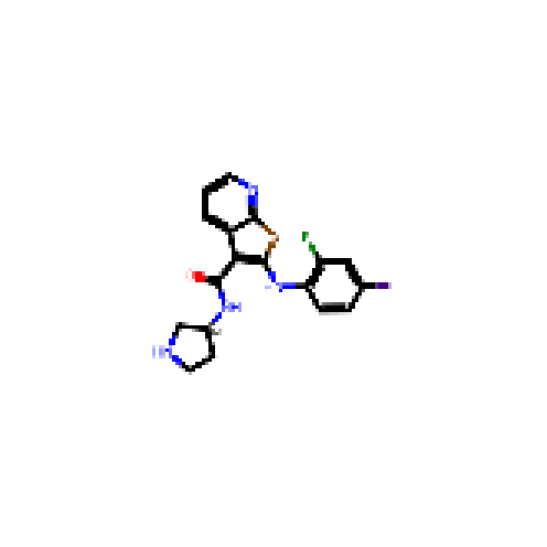 O=C(N[C@H]1CCNC1)c1c(Nc2ccc(I)cc2F)sc2ncccc12